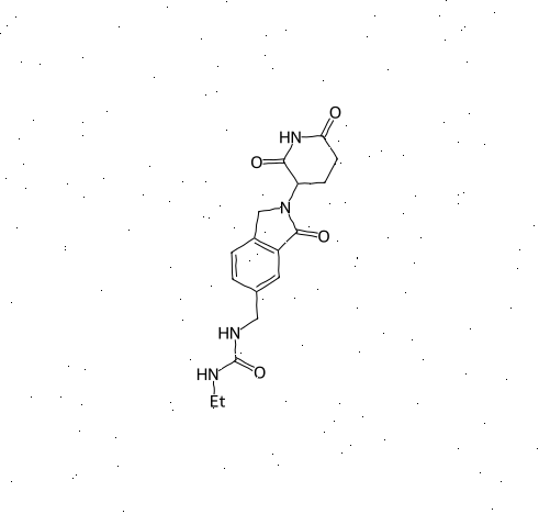 CCNC(=O)NCc1ccc2c(c1)C(=O)N(C1CCC(=O)NC1=O)C2